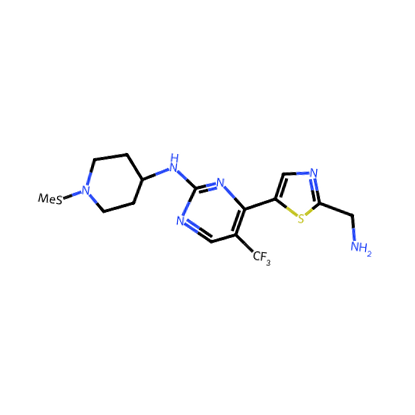 CSN1CCC(Nc2ncc(C(F)(F)F)c(-c3cnc(CN)s3)n2)CC1